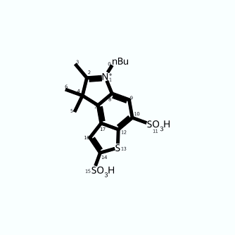 CCCC[N+]1=C(C)C(C)(C)c2c1cc(S(=O)(=O)O)c1sc(S(=O)(=O)O)cc21